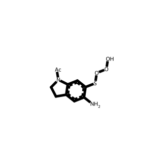 CC(=O)N1CCc2cc(N)c(SOOO)cc21